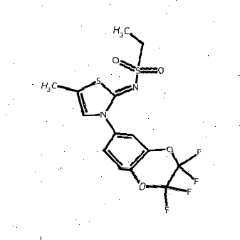 CCS(=O)(=O)N=c1sc(C)cn1-c1ccc2c(c1)OC(F)(F)C(F)(F)O2